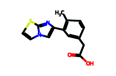 Cc1ccc(CC(=O)O)cc1-c1cn2ccsc2n1